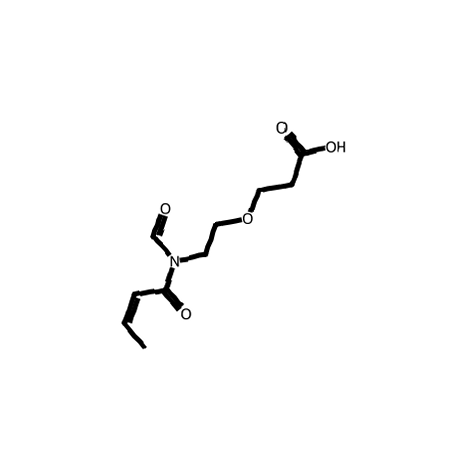 C/C=C\C(=O)N(C=O)CCOCCC(=O)O